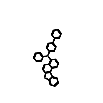 c1ccc(-c2ccc(N(c3ccccc3)c3cccc4c3ccc3sc5ccccc5c34)cc2)cc1